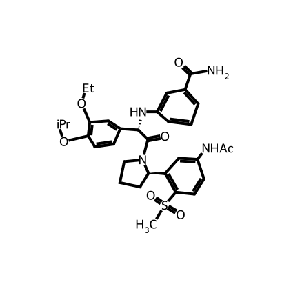 CCOc1cc([C@H](Nc2cccc(C(N)=O)c2)C(=O)N2CCC[C@@H]2c2cc(NC(C)=O)ccc2S(C)(=O)=O)ccc1OC(C)C